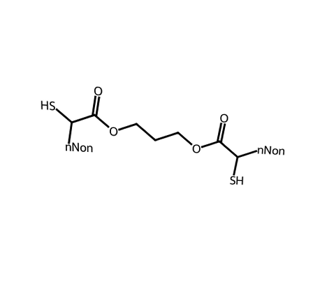 CCCCCCCCCC(S)C(=O)OCCCOC(=O)C(S)CCCCCCCCC